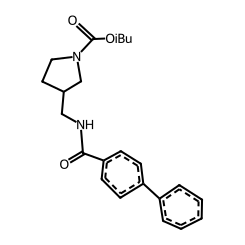 CC(C)COC(=O)N1CCC(CNC(=O)c2ccc(-c3ccccc3)cc2)C1